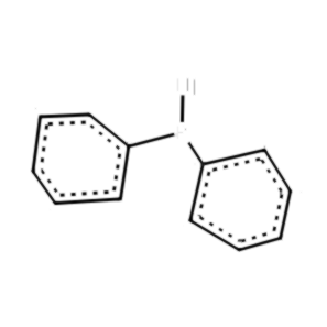 [Hf][P](c1ccccc1)c1ccccc1